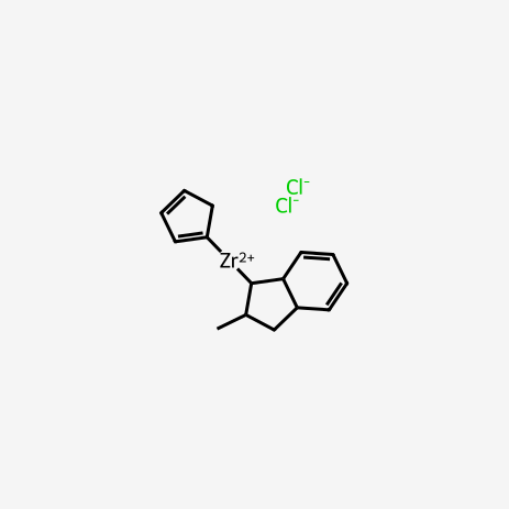 CC1CC2C=CC=CC2[CH]1[Zr+2][C]1=CC=CC1.[Cl-].[Cl-]